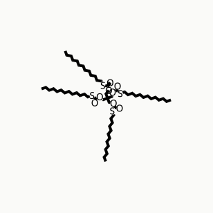 CCCCCCCCCCCCCSC(=O)OCC(COC(=O)SCCCCCCCCCCCCC)(COC(=O)SCCCCCCCCCCCCC)COC(=O)SCCCCCCCCCCCCC